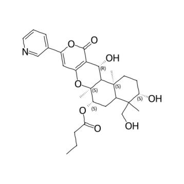 CCCC(=O)O[C@H]1CC2C(C)(CO)[C@@H](O)CC[C@]2(C)C2[C@@H](O)c3c(cc(-c4cccnc4)oc3=O)O[C@@]21C